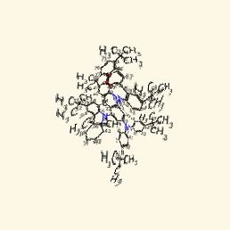 CC(C)(C)c1ccc(N(c2ccc(C(C)(C)C)cc2)c2cc3c4c(c2)N2c5c(cc(C(C)(C)C)cc5C5(C)CCCCC25C)B4c2cc4c(cc2N3c2ccc(C(C)(C)C)cc2-c2ccccc2)-c2cc(C(C)(C)C)ccc2C4(C)C)cc1